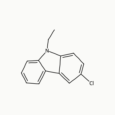 CCn1c2ccccc2c2cc(Cl)ccc21